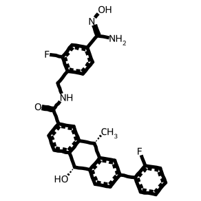 C[C@H]1c2cc(C(=O)NCc3ccc(C(N)=NO)cc3F)ccc2[C@@H](O)c2ccc(-c3ccccc3F)cc21